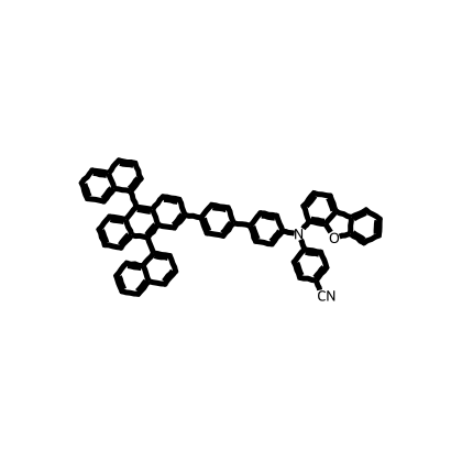 N#Cc1ccc(N(c2ccc(-c3ccc(-c4ccc5c(-c6cccc7ccccc67)c6ccccc6c(-c6cccc7ccccc67)c5c4)cc3)cc2)c2cccc3c2oc2ccccc23)cc1